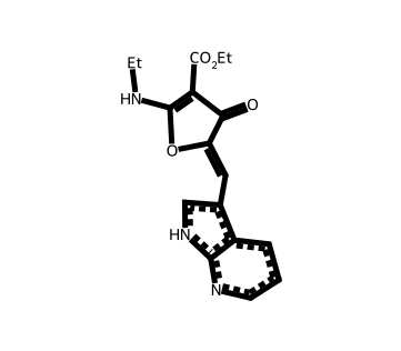 CCNC1=C(C(=O)OCC)C(=O)/C(=C/c2c[nH]c3ncccc23)O1